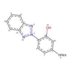 CCCCCCc1ccc(-n2nc3ccccc3n2)c(O)c1